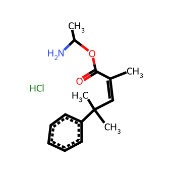 CC(=CC(C)(C)c1ccccc1)C(=O)OC(C)N.Cl